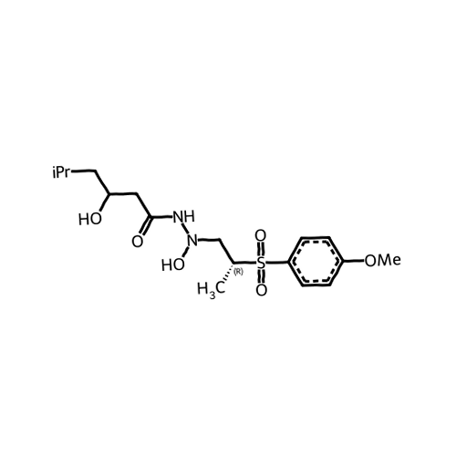 COc1ccc(S(=O)(=O)[C@H](C)CN(O)NC(=O)CC(O)CC(C)C)cc1